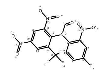 O=CN(c1ccc(F)cc1[N+](=O)[O-])c1c([N+](=O)[O-])cc([N+](=O)[O-])cc1C(F)(F)F